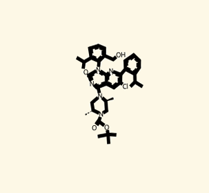 CC(C)c1ccccc1-c1nc2c(cc1Cl)c(N1C[C@@H](C)N(C(=O)OC(C)(C)C)C[C@@H]1C)nc(=O)n2-c1c(CO)cccc1C(C)C